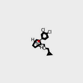 CN1[C@@H]2CC[C@H]1[C@H](COCC1CC1)[C@H](c1ccc(Cl)c(Cl)c1)C2